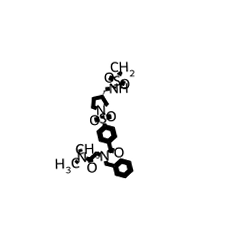 C=CS(=O)(=O)NC[C@H]1CCN(S(=O)(=O)c2ccc(C(=O)N(CC(=O)N(C)C)Cc3ccccc3)cc2)C1